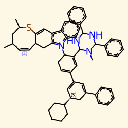 CC1/C=C\C2Cc3c(c4ccccc4n3C3CC=C(C4=C[C@H](C5CCCCC5)CC(c5ccccc5)=C4)C=C3C3NC(c4ccccc4)NC(c4ccccc4)N3C)C=C2SC(C)C1